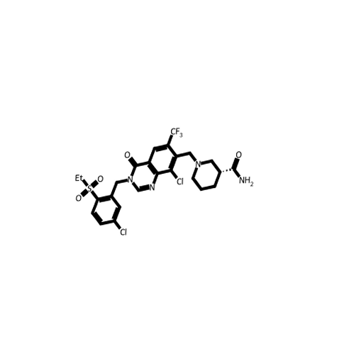 CCS(=O)(=O)c1ccc(Cl)cc1Cn1cnc2c(Cl)c(CN3CCC[C@@H](C(N)=O)C3)c(C(F)(F)F)cc2c1=O